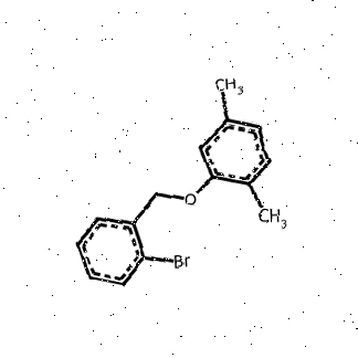 Cc1ccc(C)c(OCc2ccccc2Br)c1